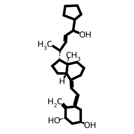 C=C1/C(=C\C=C2CCC[C@]3(C)[C@@H](C(C)/C=C/C(O)C4CCCC4)CC[C@@H]23)C[C@@H](O)C[C@@H]1O